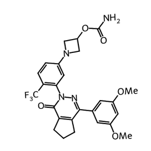 COc1cc(OC)cc(-c2nn(-c3cc(N4CC(OC(N)=O)C4)ccc3C(F)(F)F)c(=O)c3c2CCC3)c1